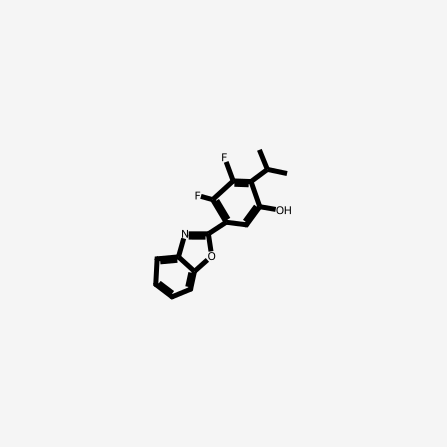 CC(C)c1c(O)cc(-c2nc3ccccc3o2)c(F)c1F